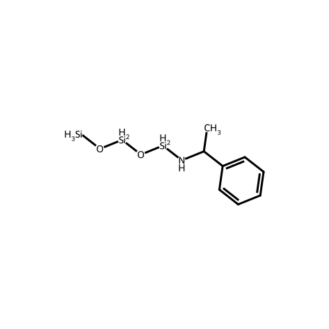 CC(N[SiH2]O[SiH2]O[SiH3])c1ccccc1